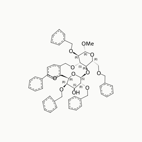 CO[C@@H]1O[C@H](COCc2ccccc2)[C@@H](O[C@@H]2O[C@H](COCc3ccccc3)[C@H](OCc3ccccc3)[C@H](O)[C@H]2OCc2ccccc2)[C@H](OCc2ccccc2)[C@H]1OCc1ccccc1